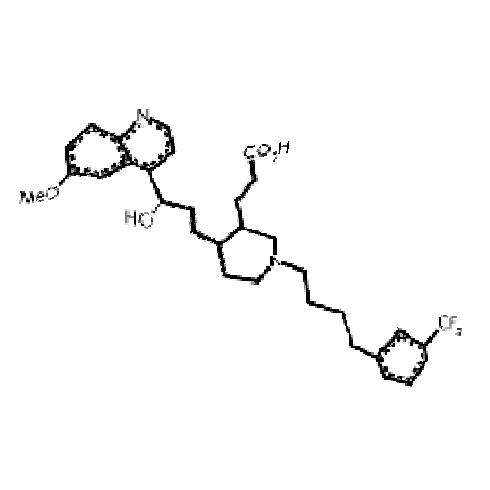 COc1ccc2nccc([C@@H](O)CCC3CCN(CCCCc4cccc(C(F)(F)F)c4)CC3CCC(=O)O)c2c1